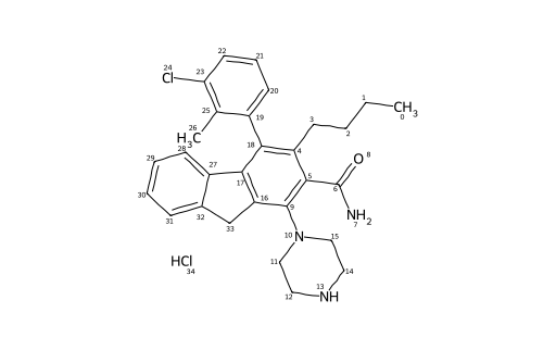 CCCCc1c(C(N)=O)c(N2CCNCC2)c2c(c1-c1cccc(Cl)c1C)-c1ccccc1C2.Cl